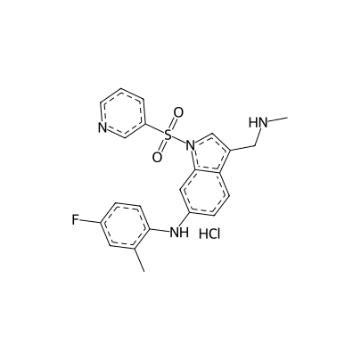 CNCc1cn(S(=O)(=O)c2cccnc2)c2cc(Nc3ccc(F)cc3C)ccc12.Cl